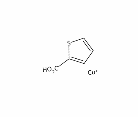 O=C(O)c1cccs1.[Cu+]